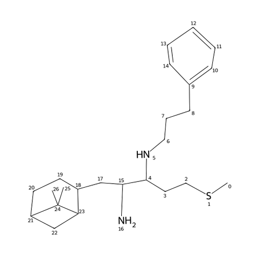 CSCCC(NCCCc1ccccc1)C(N)CC1CCC2CC1C2(C)C